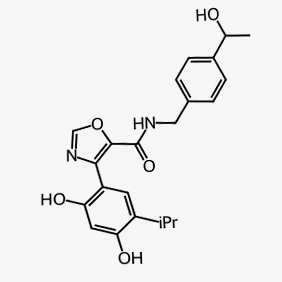 CC(C)c1cc(-c2ncoc2C(=O)NCc2ccc(C(C)O)cc2)c(O)cc1O